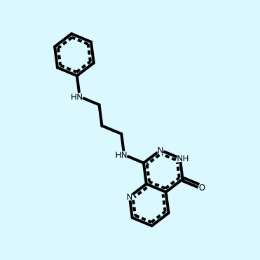 O=c1[nH]nc(NCCCNc2ccccc2)c2ncccc12